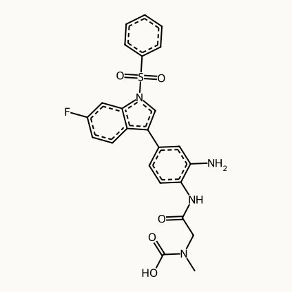 CN(CC(=O)Nc1ccc(-c2cn(S(=O)(=O)c3ccccc3)c3cc(F)ccc23)cc1N)C(=O)O